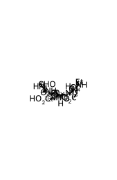 CCNC(=O)CN(CC(=O)O)C(=O)CNC(=O)CNC(=O)CN(CC(=O)O)C(=O)CNC(=O)CNC=O